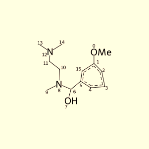 COc1cccc(C(O)N(C)CCN(C)C)c1